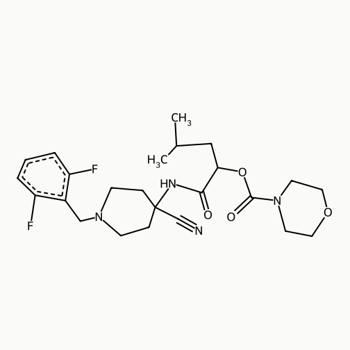 CC(C)CC(OC(=O)N1CCOCC1)C(=O)NC1(C#N)CCN(Cc2c(F)cccc2F)CC1